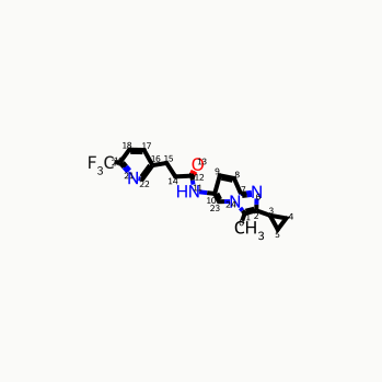 Cc1c(C2CC2)nc2ccc(NC(=O)CCc3ccc(C(F)(F)F)nc3)cn12